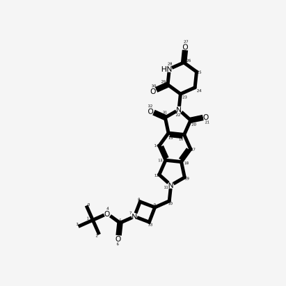 CC(C)(C)OC(=O)N1CC(CN2Cc3cc4c(cc3C2)C(=O)N(C2CCC(=O)NC2=O)C4=O)C1